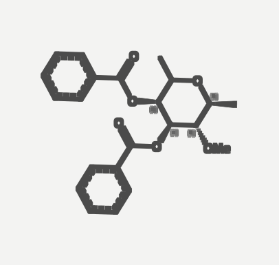 CO[C@@H]1[C@@H](OC(=O)c2ccccc2)[C@@H](OC(=O)c2ccccc2)C(C)O[C@H]1C